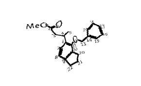 COC(=O)CC(C)c1ccc2c(c1OCc1ccccc1)CCC2